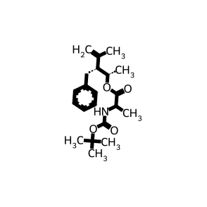 C=C(C)[C@@H](Cc1ccccc1)[C@H](C)OC(=O)C(C)NC(=O)OC(C)(C)C